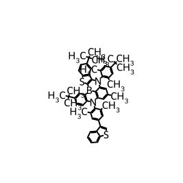 Cc1cc2c3c(c1)N(c1c(C)cc(C(C)(C)C)cc1C)c1c(sc4ccc(C(C)(C)C)cc14)B3c1cc(C(C)(C)C)ccc1N2c1c(C)cc(-c2csc3ccccc23)cc1C